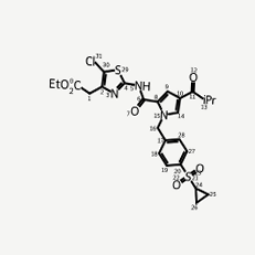 CCOC(=O)Cc1nc(NC(=O)c2cc(C(=O)C(C)C)cn2Cc2ccc(S(=O)(=O)C3CC3)cc2)sc1Cl